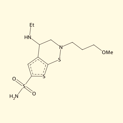 CCNC1CN(CCCOC)Sc2sc(S(N)(=O)=O)cc21